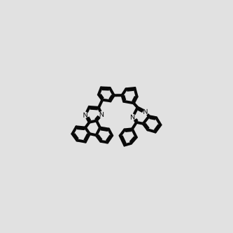 c1ccc(-c2nc(-c3cccc(-c4cccc(-c5cnc6c7ccccc7c7ccccc7c6n5)c4)c3)nc3ccccc23)cc1